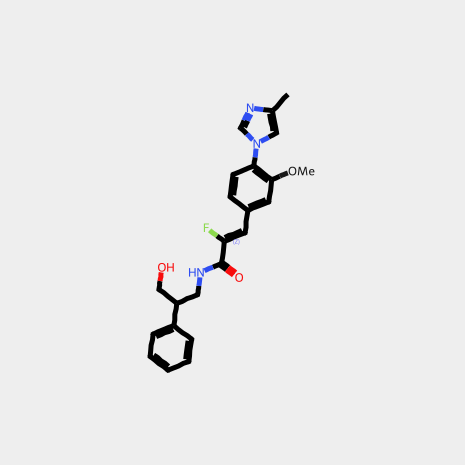 COc1cc(/C=C(\F)C(=O)NCC(CO)c2ccccc2)ccc1-n1cnc(C)c1